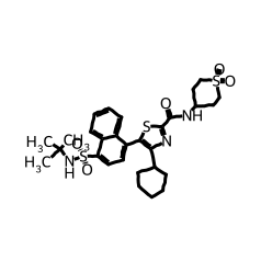 CC(C)(C)NS(=O)(=O)c1ccc(-c2sc(C(=O)NC3CCS(=O)(=O)CC3)nc2C2CCCCC2)c2ccccc12